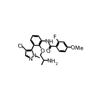 COc1ccc(C(=O)Nc2cccc(-c3c(Cl)cnn3C)c2OCC(C)N)c(F)c1